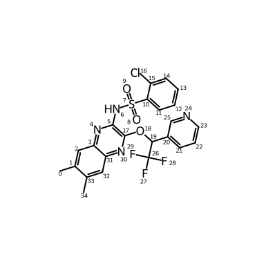 Cc1cc2nc(NS(=O)(=O)c3ccccc3Cl)c(OC(c3cccnc3)C(F)(F)F)nc2cc1C